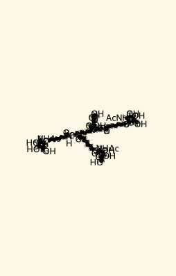 CC(=O)NC1[C@H](OCCCCCCCC(=O)NCCCN(CCCCN(CCCNC(=O)CCCCCCCO[C@@H]2OC(CO)[C@H](O)[C@H](O)C2NC(C)=O)C(=O)C(O)COP(C)(=O)O)C(=O)CCCCCCCO[C@@H]2OC(CO)[C@H](O)[C@H](O)C2NC(C)=O)OC(CO)[C@H](O)[C@@H]1O